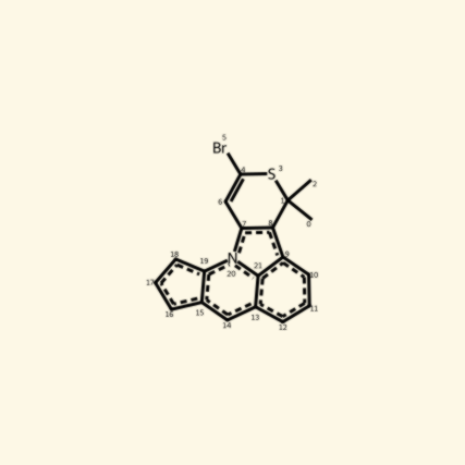 CC1(C)SC(Br)=Cc2c1c1cccc3cc4cccc4n2c31